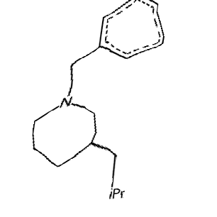 CC(C)CC1CCCN(Cc2ccccc2)C1